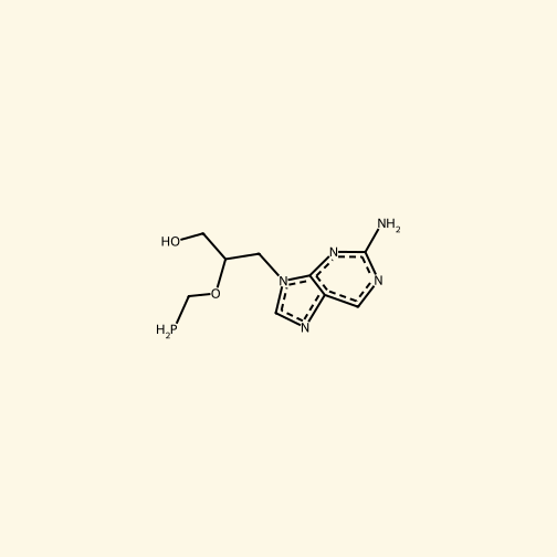 Nc1ncc2ncn(CC(CO)OCP)c2n1